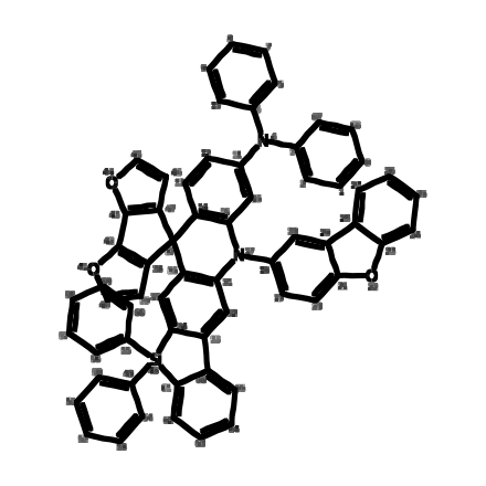 c1ccc(N(c2ccccc2)c2ccc3c(c2)N(c2ccc4oc5ccccc5c4c2)c2cc4c(cc2C32c3ccoc3-c3occc32)[Si](c2ccccc2)(c2ccccc2)c2ccccc2-4)cc1